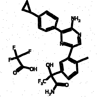 Cc1ccc(C(O)(C(N)=O)C(F)(F)F)cc1-c1cnc(N)c(-c2ccc(C3CC3)cc2)n1.O=C(O)C(F)(F)F